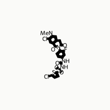 CNc1cc2c(cc1Cl)C(=O)N(c1ccc(NC(=O)NS(=O)(=O)c3ccc(Cl)s3)cc1F)C(=O)C2